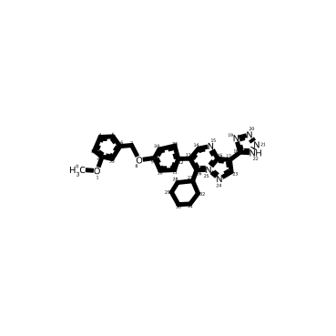 COc1cccc(COc2ccc(-c3cnc4c(-c5nnn[nH]5)cnn4c3C3CCCCC3)cc2)c1